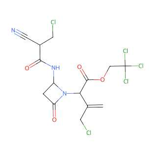 C=C(CCl)C(C(=O)OCC(Cl)(Cl)Cl)N1C(=O)CC1NC(=O)C(C#N)CCl